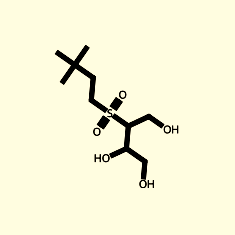 CC(C)(C)CCS(=O)(=O)C(CO)C(O)CO